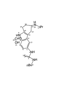 CCCCNC(=S)Nc1ccc2[nH]c3c(c2c1)CC(NC(C)C)CC3.O=CO